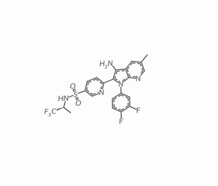 Cc1cnc2c(c1)c(N)c(-c1ccc(S(=O)(=O)N[C@@H](C)C(F)(F)F)cn1)n2-c1ccc(F)c(F)c1